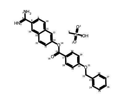 CS(=O)(=O)O.N=C(N)c1ccc2cc(OC(=O)c3ccc(OCc4ccccc4)cc3)ccc2c1